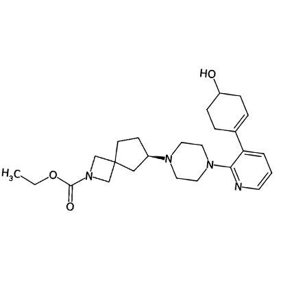 CCOC(=O)N1CC2(CC[C@@H](N3CCN(c4ncccc4C4=CCC(O)CC4)CC3)C2)C1